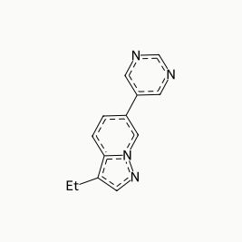 CCc1cnn2cc(-c3cncnc3)ccc12